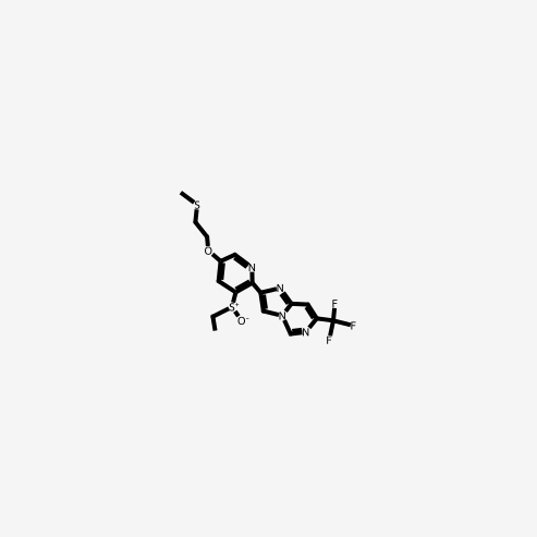 CC[S+]([O-])c1cc(OCCSC)cnc1-c1cn2cnc(C(F)(F)F)cc2n1